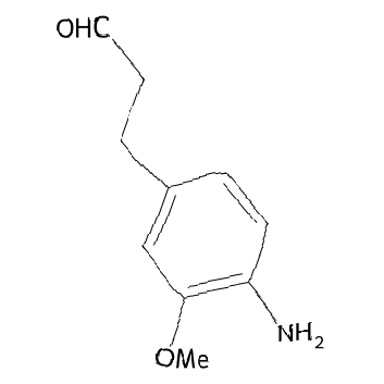 COc1cc(CCC=O)ccc1N